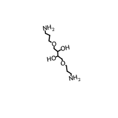 NCCCOCC(O)C(O)COCCCN